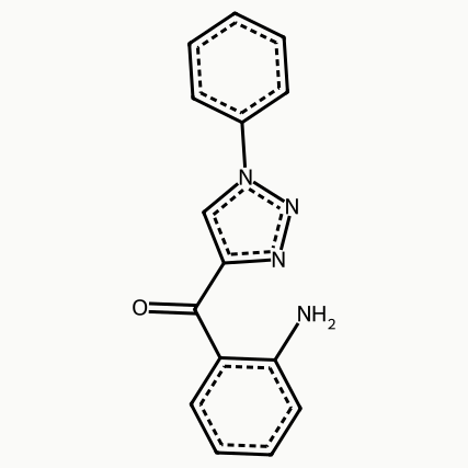 Nc1ccccc1C(=O)c1cn(-c2ccccc2)nn1